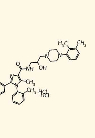 Cc1ccccc1-n1c(-c2ccccc2)nc(C(=O)NCC(O)CN2CCN(c3cccc(C)c3C)CC2)c1C.Cl.Cl